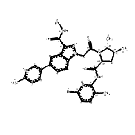 Cc1ncc(-c2ccc3c(c2)c(C(=O)NC(C)C)nn3CC(=O)N2[C@H](C)[C@@H](C)C[C@H]2C(=O)Nc2nc(Br)ccc2C)cn1